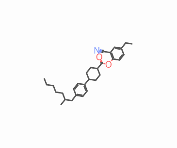 CCCCCC(C)Cc1ccc(C2CCC(C(=O)Oc3ccc(CC)cc3C#N)CC2)cc1